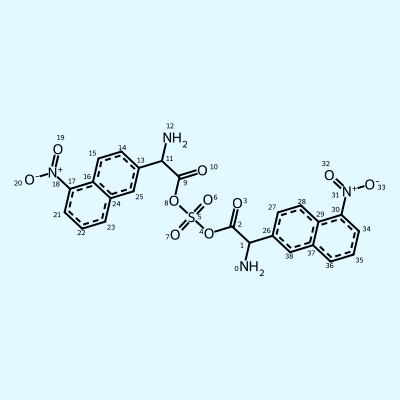 NC(C(=O)OS(=O)(=O)OC(=O)C(N)c1ccc2c([N+](=O)[O-])cccc2c1)c1ccc2c([N+](=O)[O-])cccc2c1